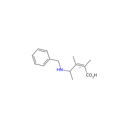 C/C(C(=O)O)=C(\C)C(C)NCc1ccccc1